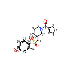 O=C(C1CCCC1)N1CCCC(CS(=O)(=O)c2ccc(Br)cc2)C1